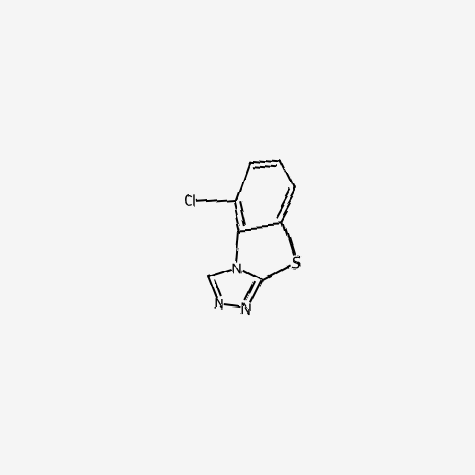 Clc1cccc2sc3nncn3c12